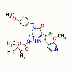 COc1ccc(CN2CC3(CN(C(=O)OC(C)(C)C)C3)c3[nH]c(-c4ccncc4OC)c(Br)c3C2=O)cc1